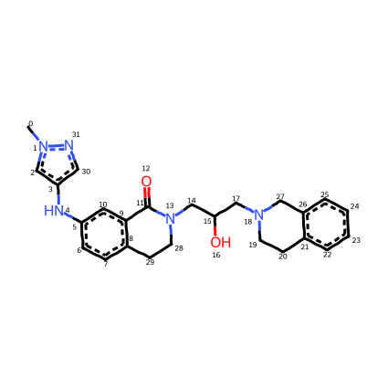 Cn1cc(Nc2ccc3c(c2)C(=O)N(CC(O)CN2CCc4ccccc4C2)CC3)cn1